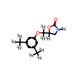 [2H]N1CC([2H])(C([2H])([2H])Oc2cc(C([2H])([2H])[2H])cc(C([2H])([2H])[2H])c2)OC1=O